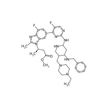 CCN1CCN(CC2CNC(Nc3ncc(F)c(-c4cc(F)c5nc(C)n([C@H](C)CC(=O)OC)c5c4)n3)CC2NCc2ccccc2)CC1